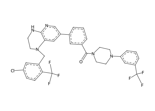 O=C(c1cccc(-c2cnc3c(c2)N(Cc2cc(Cl)ccc2C(F)(F)F)CCN3)c1)N1CCN(c2cccc(C(F)(F)F)c2)CC1